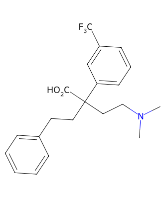 CN(C)CCC(CCc1ccccc1)(C(=O)O)c1cccc(C(F)(F)F)c1